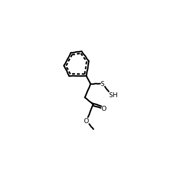 COC(=O)CC(SS)c1ccccc1